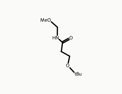 COCNC(=O)[CH]COC(C)(C)C